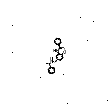 C[C@@H](NCc1ccc(Cl)c(NC(=O)c2ccccc2)c1)c1ccccc1